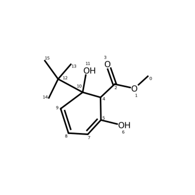 COC(=O)C1C(O)=CC=CC1(O)C(C)(C)C